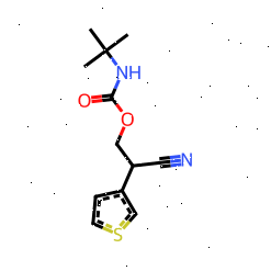 CC(C)(C)NC(=O)OCC(C#N)c1ccsc1